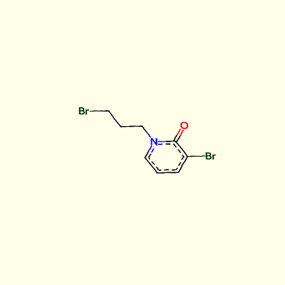 O=c1c(Br)cccn1CCCBr